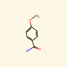 COc1ccc(C([N])=O)cc1